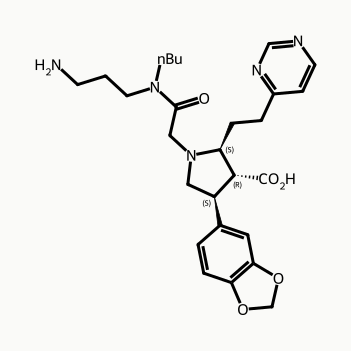 CCCCN(CCCN)C(=O)CN1C[C@H](c2ccc3c(c2)OCO3)[C@@H](C(=O)O)[C@@H]1CCc1ccncn1